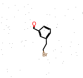 O=Cc1cccc(CCBr)c1